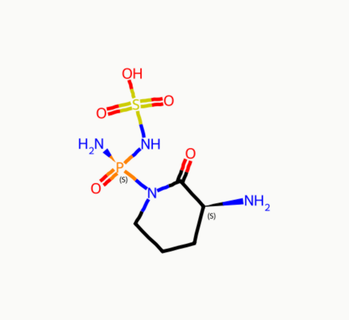 N[C@H]1CCCN([P@](N)(=O)NS(=O)(=O)O)C1=O